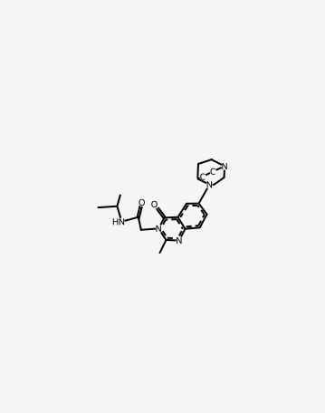 Cc1nc2ccc(N3CCN4CCC3CC4)cc2c(=O)n1CC(=O)NC(C)C